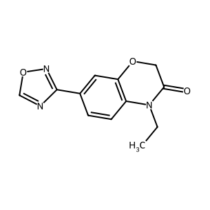 CCN1C(=O)COc2cc(-c3ncon3)ccc21